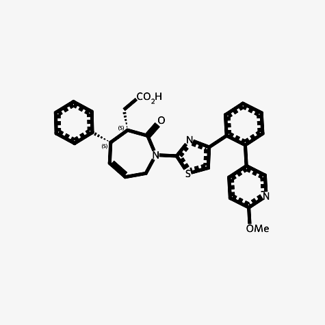 COc1ccc(-c2ccccc2-c2csc(N3CC=C[C@H](c4ccccc4)[C@H](CC(=O)O)C3=O)n2)cn1